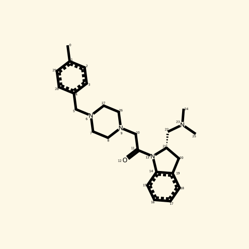 Cc1ccc(CN2CCN(CC(=O)N3c4ccccc4C[C@H]3CN(C)C)CC2)cc1